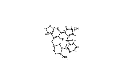 Cl.NC1CCN(Cc2cc(-n3nnnc3C(F)(F)F)cc3c2OCC3)CC1c1ccccc1